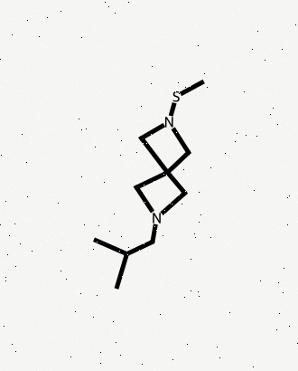 CSN1CC2(CN(CC(C)C)C2)C1